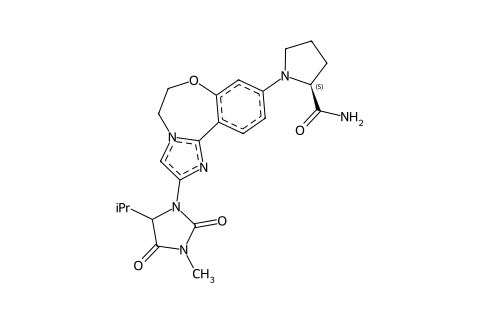 CC(C)C1C(=O)N(C)C(=O)N1c1cn2c(n1)-c1ccc(N3CCC[C@H]3C(N)=O)cc1OCC2